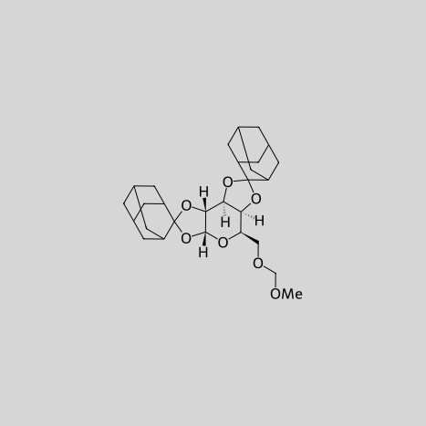 COCOC[C@H]1O[C@@H]2OC3(O[C@@H]2[C@H]2OC4(O[C@H]21)C1CC2CC(C1)CC4C2)C1CC2CC(C1)CC3C2